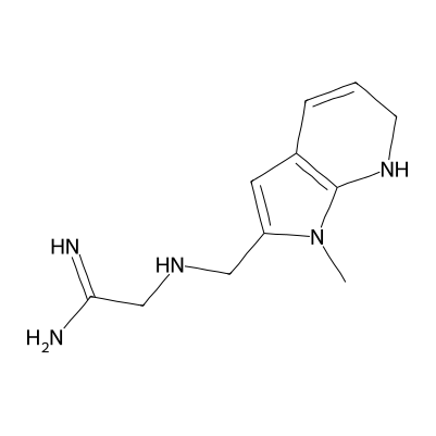 Cn1c(CNCC(=N)N)cc2c1NCC=C2